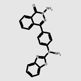 NN(c1ccc(-c2nn(N)c(=O)c3ccccc23)cc1)c1nc2ccccc2o1